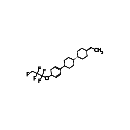 CC[C@H]1CC[C@H](C2CCC(C3=CCC(OC(F)(F)C(F)(F)CF)C=C3)CC2)CC1